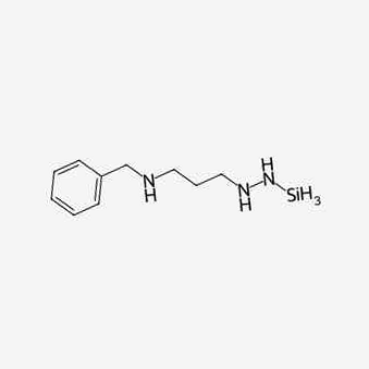 [SiH3]NNCCCNCc1ccccc1